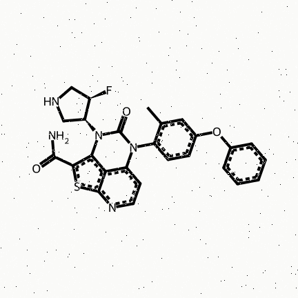 Cc1cc(Oc2ccccc2)ccc1N1C(=O)N([C@H]2CNC[C@H]2F)c2c(C(N)=O)sc3nccc1c23